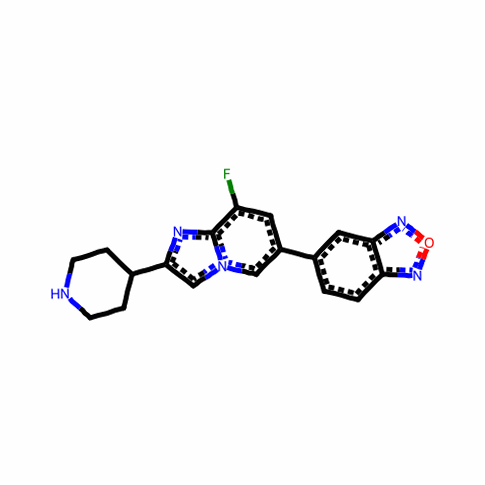 Fc1cc(-c2ccc3nonc3c2)cn2cc(C3CCNCC3)nc12